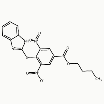 CCCCOC(=O)c1cc([N+](=O)[O-])c(Sc2nc3ccccc3[nH]2)c([N+](=O)[O-])c1